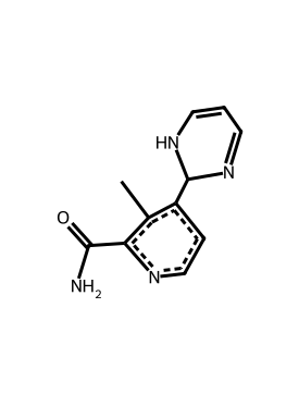 Cc1c(C2N=CC=CN2)ccnc1C(N)=O